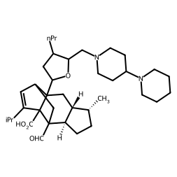 CCCC1CC(C23C[C@@H]4[C@H](C)CC[C@H]4C4(C=O)CC2C=C(C(C)C)C34C(=O)O)OC1CN1CCC(N2CCCCC2)CC1